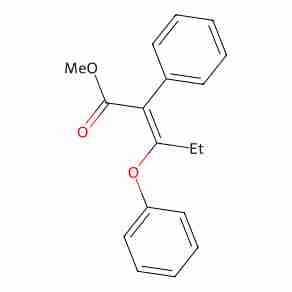 CCC(Oc1ccccc1)=C(C(=O)OC)c1ccccc1